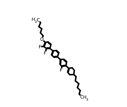 CCCCCCCC1CC=C(c2ccc(-c3ccc(-c4ccc(OCCCCCC)c(F)c4F)cc3)cc2F)CC1